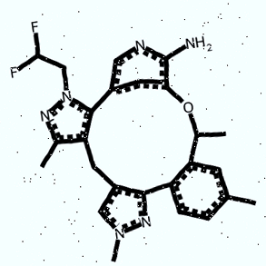 Cc1ccc2c(c1)C(C)Oc1cc(cnc1N)-c1c(c(C)nn1CC(F)F)Cc1cn(C)nc1-2